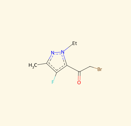 CCn1nc(C)c(F)c1C(=O)CBr